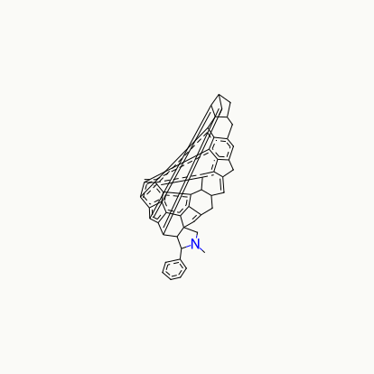 CN1CC23C=C4CC5C=C6Cc7cc8c9c%10c%11c%12c%13c(c%14c2c4c2c(c4c(c6c7c9c4%11)C25)c%14%12)C(=CC2CC(C8)C%10C=%132)C3C1c1ccccc1